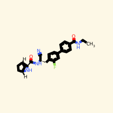 CCNC(=O)c1ccc(-c2ccc(C[C@@H](C#N)NC(=O)[C@H]3N[C@@H]4CC[C@H]3C4)c(F)c2)cc1